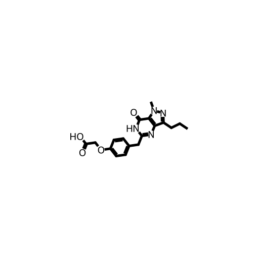 CCCc1nn(C)c2c(=O)[nH]c(Cc3ccc(OCC(=O)O)cc3)nc12